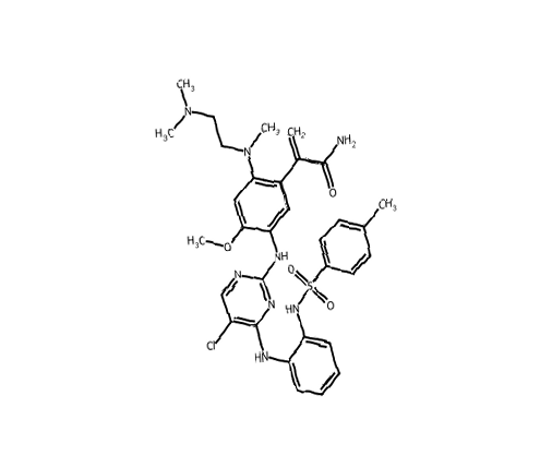 C=C(C(N)=O)c1cc(Nc2ncc(Cl)c(Nc3ccccc3NS(=O)(=O)c3ccc(C)cc3)n2)c(OC)cc1N(C)CCN(C)C